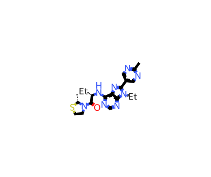 CC[C@H](Nc1ncnc2c1nc(-c1cnc(C)nc1)n2CC)C(=O)N1CCS[C@@H]1C